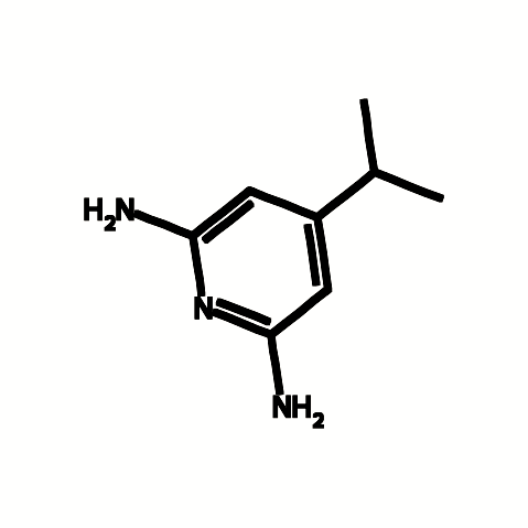 CC(C)c1cc(N)nc(N)c1